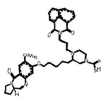 COc1cc2c(cc1OCCCCCC1CN(C(=S)S)CCN1CCCN1C(=O)c3cccc4cccc(c34)C1=O)N=C[C@@H]1CCCN1C2=O